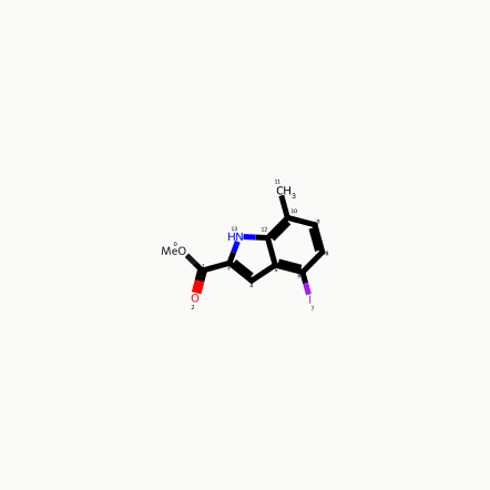 COC(=O)c1cc2c(I)ccc(C)c2[nH]1